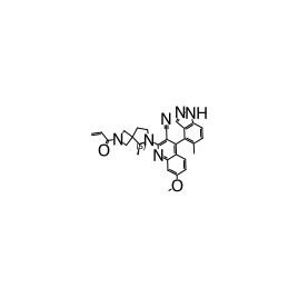 C=CC(=O)N1CC2(CCN(c3nc4cc(OC)ccc4c(-c4c(C)ccc5[nH]ncc45)c3C#N)[C@H]2C)C1